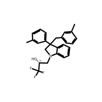 Cc1cccc(CC2(c3cccc(C)c3)CN(C[C@@H](O)C(F)(F)F)c3ccccc32)c1